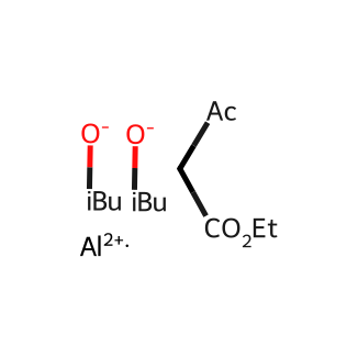 CCC(C)[O-].CCC(C)[O-].CCOC(=O)CC(C)=O.[Al+2]